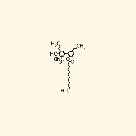 C=CCc1ccc(OC(=O)CCCCCCCCCCC)c(-c2cc(CC=C)c(O)c([N+](=O)[O-])c2)c1